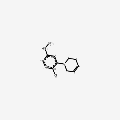 NNc1cc(N2CC=CCC2)c(Cl)nn1